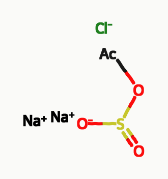 CC(=O)OS(=O)[O-].[Cl-].[Na+].[Na+]